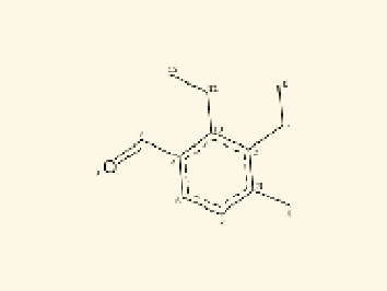 CCc1c(C)ccc(C=O)c1CC